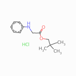 CC(C)(C)COC(=O)CNc1ccccc1.Cl